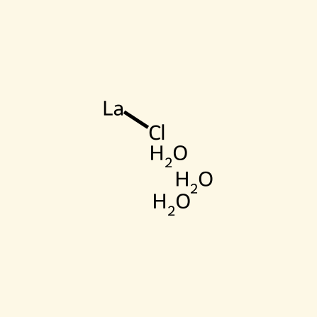 O.O.O.[Cl][La]